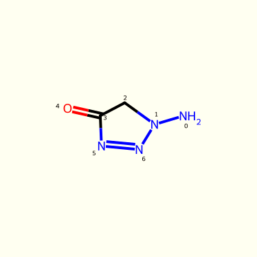 NN1CC(=O)N=N1